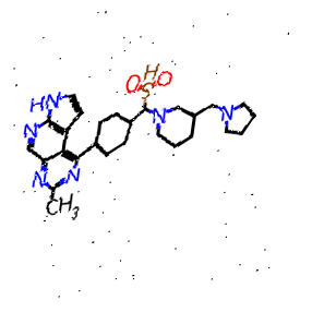 Cc1nc(C2CCC(C(N3CCCC(CN4CCCC4)C3)[SH](=O)=O)CC2)c2c(cnc3[nH]ccc32)n1